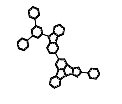 c1ccc(-c2cc(-c3ccccc3)cc(-n3c4ccccc4c4cc(-c5cc6c7ccccc7n7c8sc(-c9ccccc9)cc8c(c5)c67)ccc43)c2)cc1